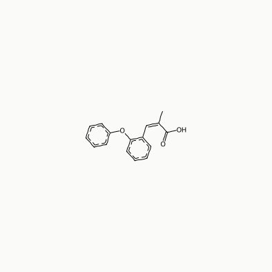 CC(=Cc1ccccc1Oc1ccccc1)C(=O)O